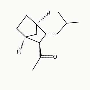 CC(=O)[C@H]1[C@H]2CC[C@H](C2)[C@@H]1CC(C)C